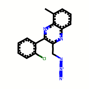 Cc1cccc2nc(CN=[N+]=[N-])c(-c3ccccc3Cl)nc12